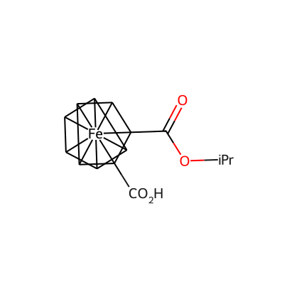 CC(C)OC(=O)[C]12[CH]3[CH]4[CH]5[C]1(C(=O)O)[Fe]45321678[CH]2[CH]1[CH]6[CH]7[CH]28